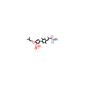 CC(C)=CCOc1ccc(-c2cc(C)c(/C=C(\C)C(=O)NC(C)C)cc2C)cc1OS(C)(=O)=O